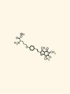 Cn1c(=O)c2c(nc(C=Cc3ccc(OCCCC(N)C(=O)OC(C)(C)C)cc3)n2C)n(C)c1=O